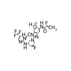 C=C(F)C(=O)Nc1cc2nc(N3CC(Nc4ncc(C(F)(F)F)cn4)C[C@@H](F)C3)n(C)c2cc1C